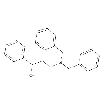 O[C@@H](CCN(Cc1ccccc1)Cc1ccccc1)c1ccccc1